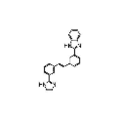 C(=Cc1cccc(-c2nc3ccccc3[nH]2)c1)c1cccc(-c2ncc[nH]2)c1